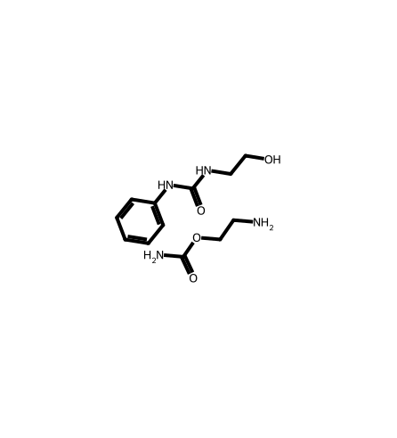 NCCOC(N)=O.O=C(NCCO)Nc1ccccc1